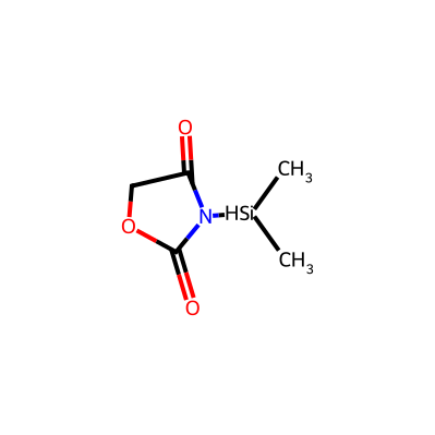 C[SiH](C)N1C(=O)COC1=O